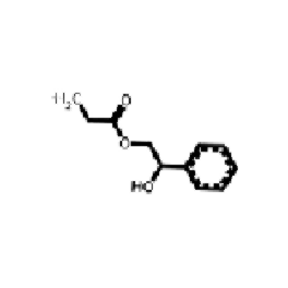 [CH2]CC(=O)OCC(O)c1ccccc1